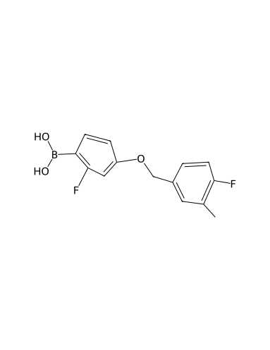 Cc1cc(COc2ccc(B(O)O)c(F)c2)ccc1F